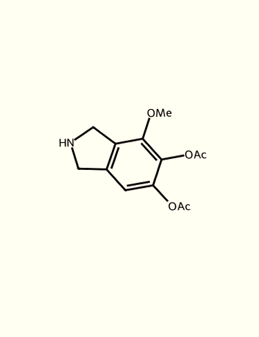 COc1c2c(cc(OC(C)=O)c1OC(C)=O)CNC2